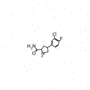 CN1CC(c2ccc(F)c(Cl)c2)[CH]C1C(N)=O